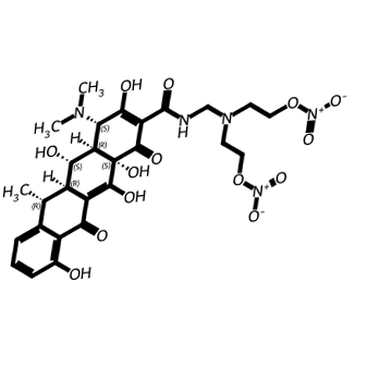 C[C@H]1c2cccc(O)c2C(=O)C2=C(O)[C@]3(O)C(=O)C(C(=O)NCN(CCO[N+](=O)[O-])CCO[N+](=O)[O-])=C(O)[C@@H](N(C)C)[C@@H]3[C@@H](O)[C@@H]21